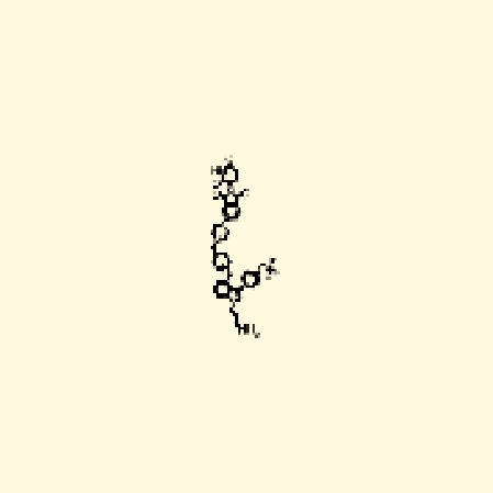 NCCCn1cc(-c2ccc(OC(F)(F)F)cc2)c2c(CN3CCC(CN4CCN(c5ccc6c(c5)C(=O)N(C5CCC(=O)NC5=O)C6=O)CC4)CC3)cccc21